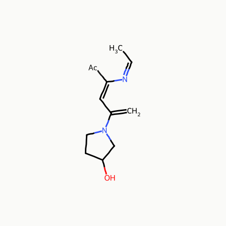 C=C(/C=C(\N=C/C)C(C)=O)N1CCC(O)C1